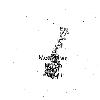 CC/C=C\C/C=C\C/C=C\C/C=C\C/C=C\C/C=C\CCCOC(=O)Oc1c(OC)cc([C@@H]2c3cc4c(cc3[C@@H](O[C@@H]3O[C@@H]5CO[C@@H](C)O[C@H]5[C@H](O)[C@H]3O)[C@H]3COC(=O)[C@H]23)OCO4)cc1OC